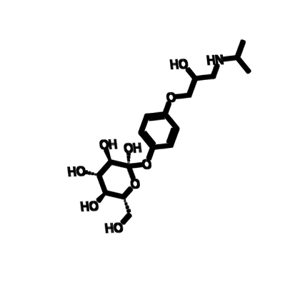 CC(C)NCC(O)COc1ccc(O[C@@]2(O)O[C@H](CO)[C@@H](O)[C@H](O)[C@H]2O)cc1